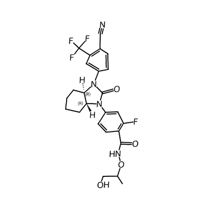 CC(CO)ONC(=O)c1ccc(N2C(=O)N(c3ccc(C#N)c(C(F)(F)F)c3)[C@@H]3CCCC[C@H]32)cc1F